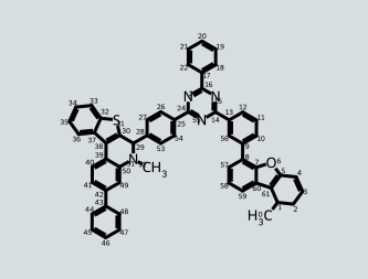 CC1CC=Cc2oc3c(-c4cccc(-c5nc(-c6ccccc6)nc(-c6ccc(C7c8sc9ccccc9c8-c8ccc(-c9ccccc9)cc8N7C)cc6)n5)c4)cccc3c21